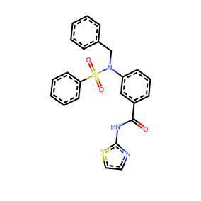 O=C(Nc1nccs1)c1cccc(N(Cc2ccccc2)S(=O)(=O)c2ccccc2)c1